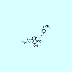 COc1ccc(CCCC2Sc3ccc(C4OC(C)O4)cc3N(CC(=O)O)C2=O)cc1